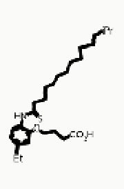 CCc1ccc(NC(=S)CCCCCCCCCCCC(C)C)c(OCCCC(=O)O)c1